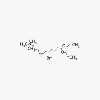 CCCOC(CCCCC/C=C\CCC[P+](C)(C)C)OCCC.[Br-]